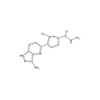 CN[S+]([O-])c1ccc(-c2ccc3[nH]nc(N)c3n2)c(Cl)c1